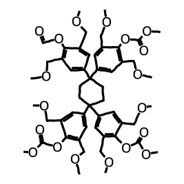 COCc1cc(C2(c3cc(COC)c(OC(=O)OC)c(COC)c3)CCC(c3cc(COC)c(OC(=O)OC)c(COC)c3)(c3cc(COC)c(OC(=O)OC)c(COC)c3)CC2)cc(COC)c1OC=O